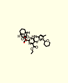 CCOC(=O)c1nc(N(C)[C@@H]2C[C@H]3CCC[C@@H](C2)N3S(=O)(=O)CC)nc(Nc2cc(C)n(C3CCCCO3)n2)c1F